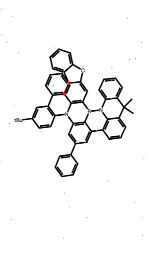 CC(C)(C)c1ccc(N2c3cc4c(cc3B3c5c(cc(-c6ccccc6)cc52)-c2cccc5c2N3c2ccccc2C5(C)C)oc2ccccc24)c(-c2ccccc2)c1